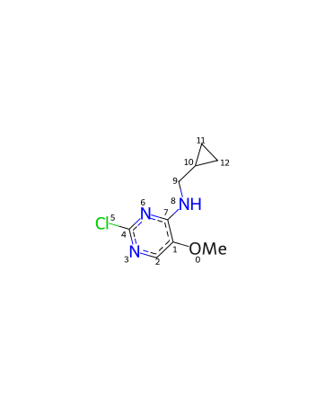 COc1cnc(Cl)nc1NCC1CC1